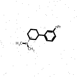 CCCc1cccc(C2CCC[C@@H](N(C)C)C2)c1